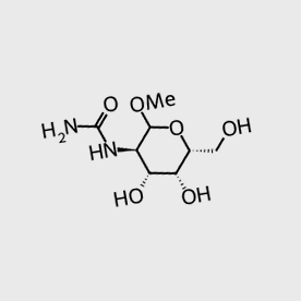 COC1O[C@H](CO)[C@H](O)[C@H](O)[C@H]1NC(N)=O